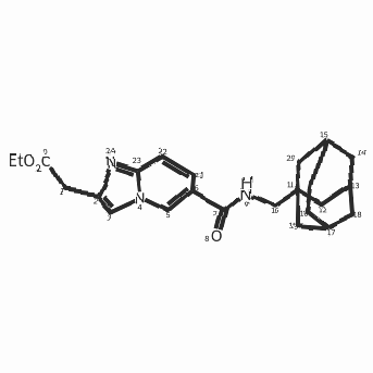 CCOC(=O)Cc1cn2cc(C(=O)NCC34CC5CC(CC(C5)C3)C4)ccc2n1